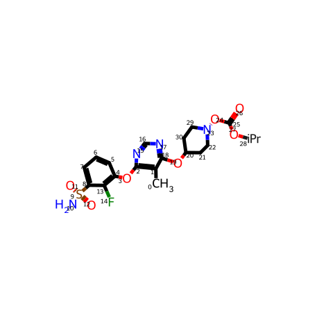 Cc1c(Oc2cccc(S(N)(=O)=O)c2F)ncnc1OC1CCN(OC(=O)OC(C)C)CC1